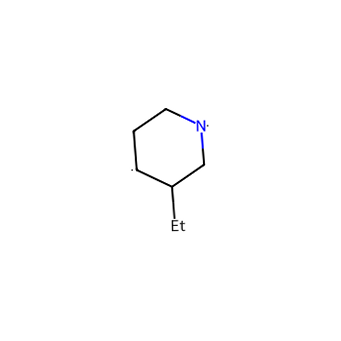 CCC1[CH]CC[N]C1